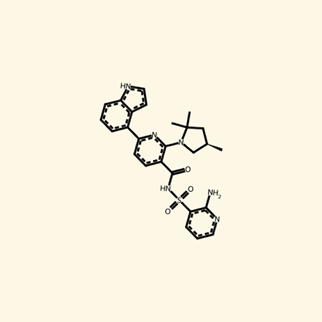 C[C@H]1CN(c2nc(-c3cccc4[nH]ccc34)ccc2C(=O)NS(=O)(=O)c2cccnc2N)C(C)(C)C1